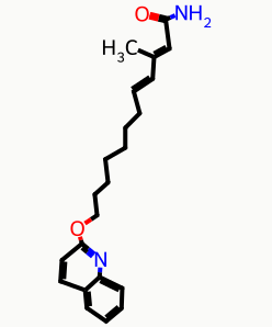 CC(/C=C/CCCCCCCOc1ccc2ccccc2n1)=C\C(N)=O